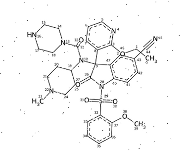 CCOc1ncccc1C1(N(C(=O)N2CCNCC2)C2CCN(C)CC2)C(=O)N(S(=O)(=O)c2ccccc2OC)c2ccc(C#N)cc21